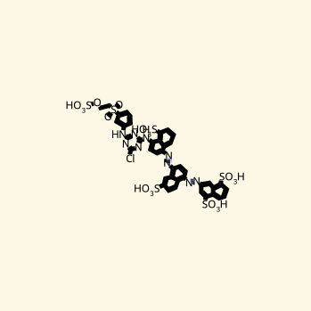 O=S(=O)(O)OCCS(=O)(=O)c1cccc(Nc2nc(Cl)nc(Nc3ccc(/N=N/c4ccc(/N=N/c5cc(S(=O)(=O)O)c6cccc(S(=O)(=O)O)c6c5)c5ccc(S(=O)(=O)O)cc45)c4cccc(S(=O)(=O)O)c34)n2)c1